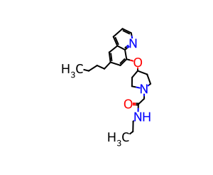 CCCCc1cc(OC2CCN(CC(=O)NCCC)CC2)c2ncccc2c1